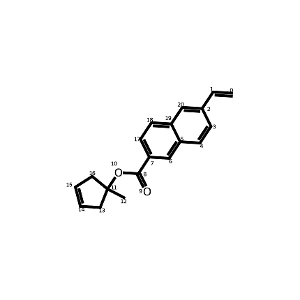 C=Cc1ccc2cc(C(=O)OC3(C)CC=CC3)ccc2c1